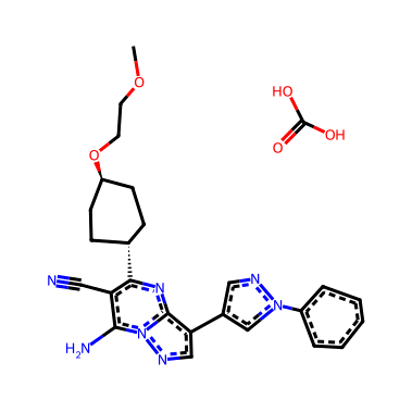 COCCO[C@H]1CC[C@H](c2nc3c(-c4cnn(-c5ccccc5)c4)cnn3c(N)c2C#N)CC1.O=C(O)O